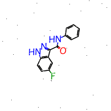 O=C(Nc1ccccc1)c1n[nH]c2ccc(F)cc12